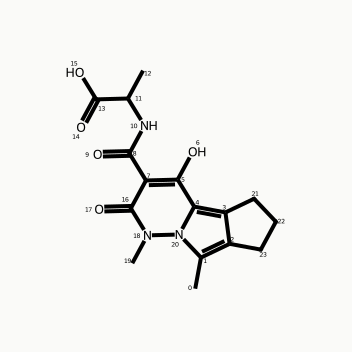 Cc1c2c(c3c(O)c(C(=O)NC(C)C(=O)O)c(=O)n(C)n13)CCC2